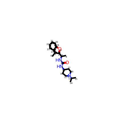 Cc1c(C(C)NC(=O)NC2CCN(C(C)C)CC2)oc2ccccc12